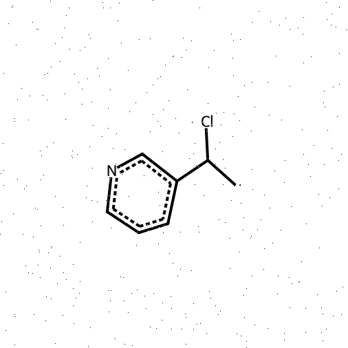 [CH2]C(Cl)c1cccnc1